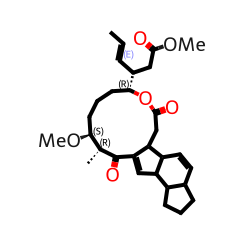 C/C=C/C(CC(=O)OC)[C@H]1CCC[C@H](OC)[C@@H](C)C(=O)C2=CC3C(C=CC4CCCC43)C2CC(=O)O1